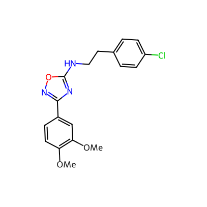 COc1ccc(-c2noc(NCCc3ccc(Cl)cc3)n2)cc1OC